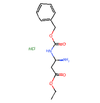 CCOC(=O)C[C@H](N)NC(=O)OCc1ccccc1.Cl